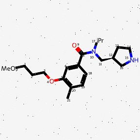 COCCCOc1cc(C(=O)N(C[C@H]2CCNC2)C(C)C)ccc1C